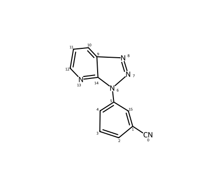 N#Cc1cccc(-n2nnc3cccnc32)c1